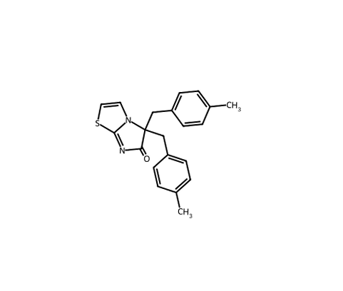 Cc1ccc(CC2(Cc3ccc(C)cc3)C(=O)N=C3SC=CN32)cc1